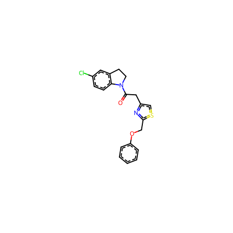 O=C(Cc1csc(COc2ccccc2)n1)N1CCc2cc(Cl)ccc21